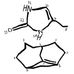 C1CC2CCC3C1=C23.Cc1c[nH]c(=O)[nH]1